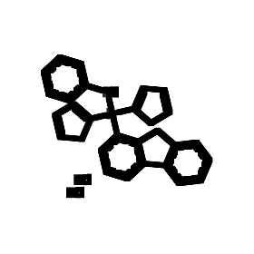 C1=CC[C]([Zr]([NH]c2ccccc2)([C]2=CC=CC2)[c]2cccc3c2Cc2ccccc2-3)=C1.Cl.Cl